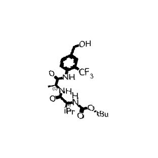 CC(C)[C@H](NC(=O)OC(C)(C)C)C(=O)N[C@@H](C)C(=O)Nc1ccc(CO)cc1C(F)(F)F